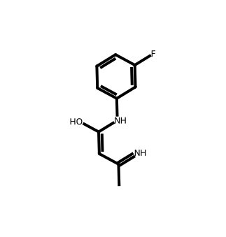 CC(=N)/C=C(/O)Nc1cccc(F)c1